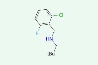 CC(C)(C)CNCc1c(F)cccc1Cl